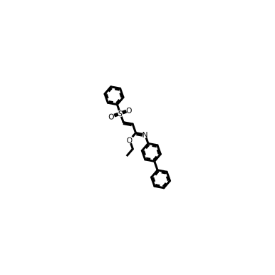 CCOC(C=CS(=O)(=O)c1ccccc1)=Nc1ccc(-c2ccccc2)cc1